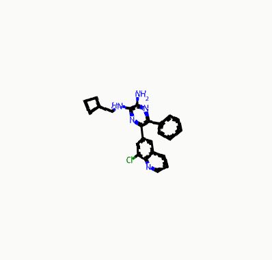 Nc1nc(-c2ccccc2)c(-c2cc(Cl)c3ncccc3c2)nc1NCC1CCC1